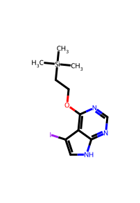 C[Si](C)(C)CCOc1ncnc2[nH]cc(I)c12